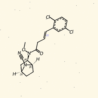 CON(C(=O)C/C=C/c1cc(Cl)ccc1Cl)[C@@H]1C[C@@H]2CC[C@H]1N2C#N